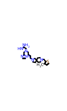 Cc1ccsc1CN1CCC2(CC1)CCN(CCCCN(CC(=N)N)Cc1ncc[nH]1)C2